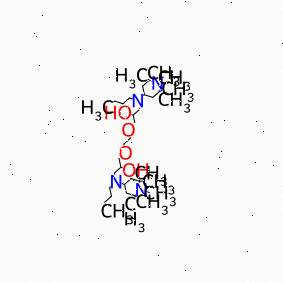 CCCCN(CC(O)COCCOCC(O)CN(CCCC)C1CC(C)(C)N(C)C(C)(C)C1)C1CC(C)(C)N(C)C(C)(C)C1